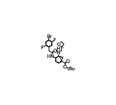 CC(C)(C)OC(=O)c1ccc(NC(=O)Cc2cc(F)c(Br)cc2F)c(NC[C@@H]2CCO2)n1